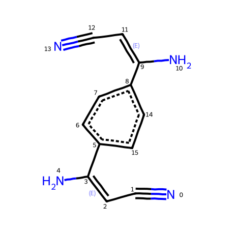 N#C/C=C(/N)c1ccc(/C(N)=C\C#N)cc1